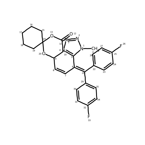 Cn1nnnc1C(/C=C\C1CC(=O)OC2(CCCCC2)O1)=C(c1ccc(F)cc1)c1ccc(F)cc1